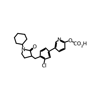 O=C(O)Oc1ccc(-c2ccc(CC3CCN(C4CCCCC4)C3=O)c(Cl)c2)cn1